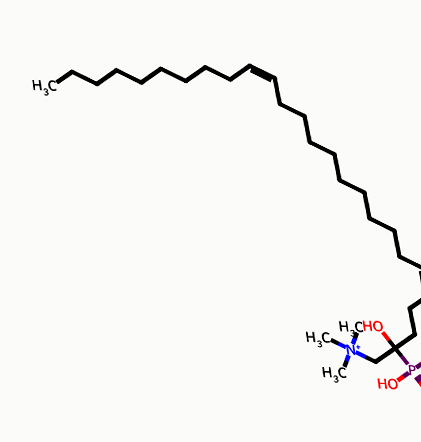 CCCCCCCCC/C=C\CCCCCCCCC/C=C\CCC(O)(C[N+](C)(C)C)P(=O)(O)O